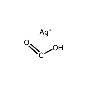 O=[C-]O.[Ag+]